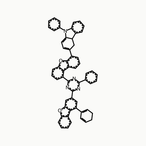 C1=CC(c2cc(-c3nc(-c4ccccc4)nc(-c4cccc5oc6c(C7=CC=C8C(C7)c7ccccc7N8c7ccccc7)cccc6c45)n3)cc3oc4ccccc4c23)=CCC1